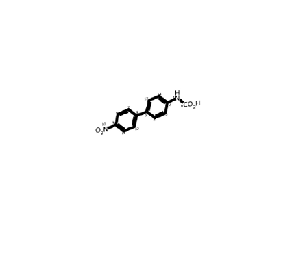 O=C(O)Nc1ccc(-c2ccc([N+](=O)[O-])cc2)cc1